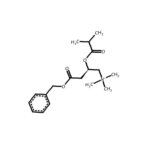 CC(C)C(=O)O[C@H](CC(=O)OCc1ccccc1)C[N+](C)(C)C